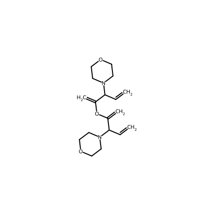 C=CC(C(=C)OC(=C)C(C=C)N1CCOCC1)N1CCOCC1